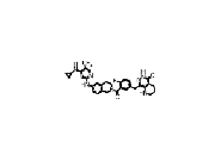 O=C(c1cc(Cc2n[nH]c(=O)c3c2NCCC3)ccc1F)N1CCc2cc(Nc3ncc(C(F)(F)F)c(NC4CC4)n3)ccc2C1